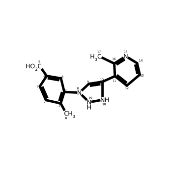 Cc1ccc(C(=O)O)cc1N1C=C(c2cccnc2C)NN1